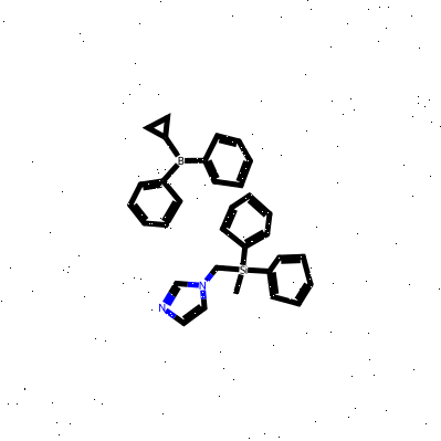 C[Si](Cn1ccnc1)(c1ccccc1)c1ccccc1.c1ccc(B(c2ccccc2)C2CC2)cc1